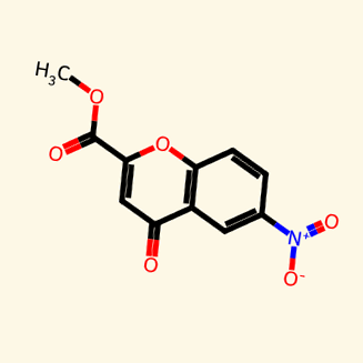 COC(=O)c1cc(=O)c2cc([N+](=O)[O-])ccc2o1